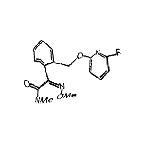 CNC(=O)C(=NOC)c1ccccc1COc1cccc(F)n1